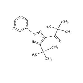 CC(C)(C)C(=O)c1oc(-c2cccnc2)nc1C(C)(C)C